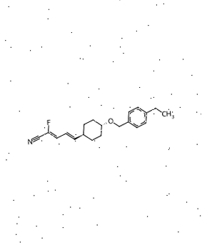 CCc1ccc(CO[C@H]2CC[C@H](/C=C/C=C(\F)C#N)CC2)cc1